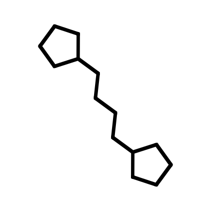 C1CCC(CCCCC2CCCC2)C1